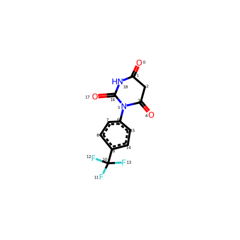 O=C1CC(=O)N(c2ccc(C(F)(F)F)cc2)C(=O)N1